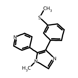 CSc1cccc(-c2ncn(C)c2-c2ccncc2)c1